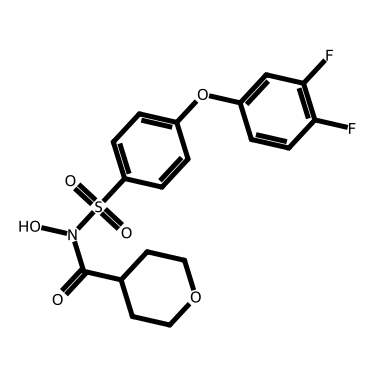 O=C(C1CCOCC1)N(O)S(=O)(=O)c1ccc(Oc2ccc(F)c(F)c2)cc1